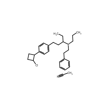 CC#N.CCCN(CCc1ccccc1)C(CC)CCc1ccc(C2CCC2Cl)cc1